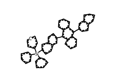 c1ccc([Si](c2ccccc2)(c2ccccc2)c2ccc3cc(-c4c5ccccc5c(-c5ccc6ccccc6c5)c5ccccc45)ccc3c2)cc1